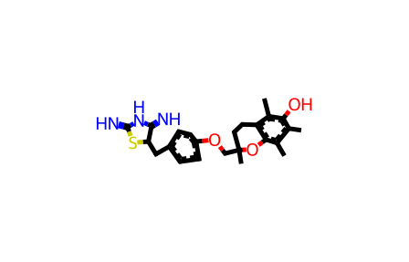 Cc1c(C)c2c(c(C)c1O)CCC(C)(COc1ccc(CC3SC(=N)NC3=N)cc1)O2